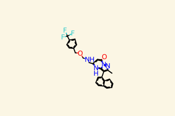 Cc1nn2c(=O)cc(CNCOCc3ccc(C(F)(F)F)cc3)[nH]c2c1-c1cccc2ccccc12